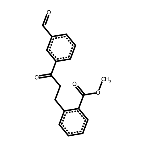 COC(=O)c1ccccc1CCC(=O)c1cccc(C=O)c1